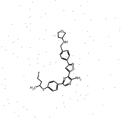 CC(CCF)Sc1ccc(-c2cnc(N)c(-c3cc(-c4ccc(CNC5CCOC5)cc4)no3)n2)cc1